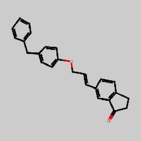 O=C1CCc2ccc(/C=C/COc3ccc(Cc4ccccc4)cc3)cc21